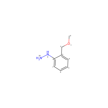 COCc1ccccc1NN